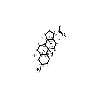 CC(=O)[C@H]1CC[C@H]2[C@@H]3CC[C@@H]4C[C@@H](O)CC[C@]4(C)[C@H]3CC[C@]12C